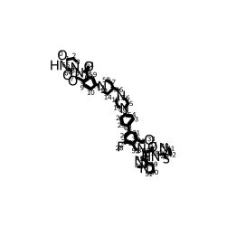 O=C1CCN(N2C(=O)c3ccc(N4CCC(CN5CCN(c6ccc(-c7cc(F)c8c(c7)C(=O)N(C(C(=O)Nc7nccs7)c7ncn9c7CCC9)C8)cc6)CC5)CC4)cc3C2=O)C(=O)N1